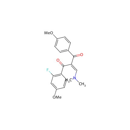 COc1ccc(C(=O)/C(=C/N(C)C)C(=O)c2ccc(OC)cc2F)cc1